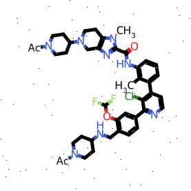 CC(=O)N1CCC(NCc2ccc(-c3nccc(-c4cccc(NC(=O)c5nc6c(n5C)CCN(C5CCN(C(C)=O)CC5)C6)c4C)c3Cl)cc2OC(F)F)CC1